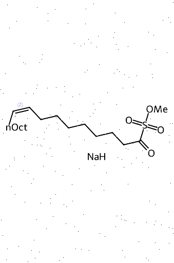 CCCCCCCC/C=C\CCCCCCCC(=O)S(=O)(=O)OC.[NaH]